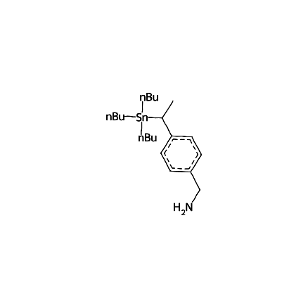 CCC[CH2][Sn]([CH2]CCC)([CH2]CCC)[CH](C)c1ccc(CN)cc1